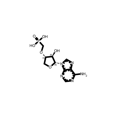 Nc1ncnc2c1ncn2[C@@H]1OC[C@H](OCP(=O)(O)O)[C@H]1O